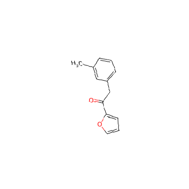 Cc1cccc(CC(=O)c2ccco2)c1